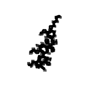 CCCCCOc1ccc(NS(=O)(=O)c2ccc(OCC)c(-c3nn4c(CCC)nc(C)c4c(=O)[nH]3)c2)cc1OC